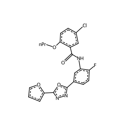 CCCOc1ccc(Cl)cc1C(=O)Nc1cc(-c2nnc(-c3ccco3)o2)ccc1F